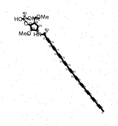 CC#CC#CC#CC#CC#CC#CC#CC#CC#CC#CC(=S)N[C@@H]1C[C@H](COC)C(OP(O)(=S)OC)[C@@H]1OC